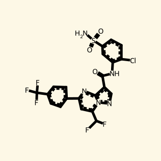 NS(=O)(=O)c1ccc(Cl)c(NC(=O)c2cnn3c(C(F)F)cc(-c4ccc(C(F)(F)F)cc4)nc23)c1